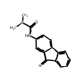 CN(C)C(=O)Nc1ccc2c(c1)C(=O)c1ccccc1-2